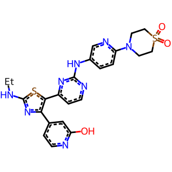 CCNc1nc(-c2ccnc(O)c2)c(-c2ccnc(Nc3ccc(N4CCS(=O)(=O)CC4)nc3)n2)s1